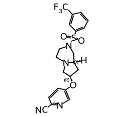 N#Cc1ccc(O[C@@H]2C[C@H]3CN(S(=O)(=O)c4cccc(C(F)(F)F)c4)CCN3C2)cn1